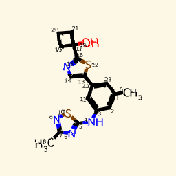 Cc1cc(Nc2nc(C)ns2)cc(-c2cnc(C3(O)CCC3)s2)c1